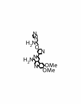 COc1cc2ncc3c(N)nc(-c4cncc(OC[C@@H](N)Cn5ccnc5)c4)cc3c2cc1OC